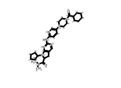 CN(C)C(=O)C1Cc2cnc(Nc3ccc(N4CCN(C(=O)C5CCCCC5)CC4)cn3)nc2N1C1CCCC1